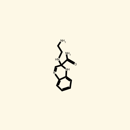 NCCNC1(C(N)=O)C=Nc2ccccc2N1